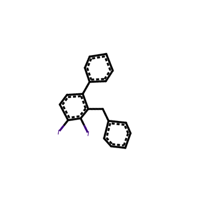 Ic1ccc(-c2ccccc2)c(Cc2ccccc2)c1I